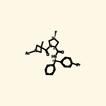 CC(=O)N1CC(C)(C(=O)N2C[C@H](F)C[C@H]2C(=O)N[C@@H](c2ccccc2)c2ccc(C(C)C)cc2)C1